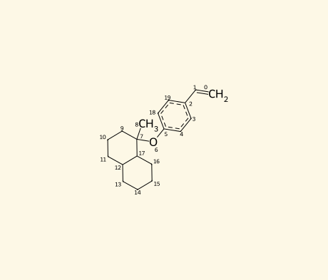 C=Cc1ccc(OC2(C)CCCC3CCCCC32)cc1